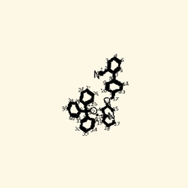 N#Cc1ccccc1-c1ccc(CO[C@H]2CN3CCC[C@@]3(COC(c3ccccc3)(c3ccccc3)c3ccccc3)C2)cc1